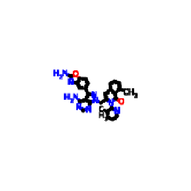 Cc1cccnc1-n1c(Cn2nc(-c3ccc4oc(N)nc4c3)c3c(N)ncnc32)cc2cccc(C)c2c1=O